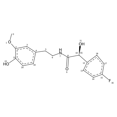 COc1cc(CCNC(=O)[C@@H](O)c2ccc(F)cc2)ccc1O